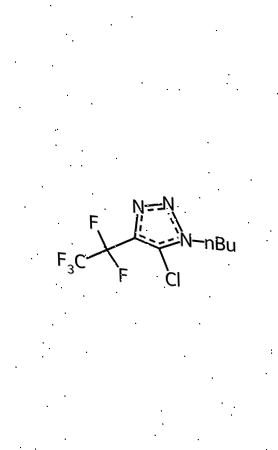 CCCCn1nnc(C(F)(F)C(F)(F)F)c1Cl